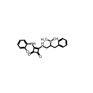 CN(C)C(CNc1c(Nc2ccccc2Cl)c(=O)c1=O)Cc1ccccc1